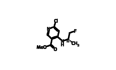 COC(=O)c1cnc(Cl)cc1N[C@@H](C)CF